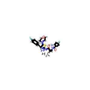 CC(CNC(=O)c1ccc(F)cc1)C(=O)Nc1nc(-c2ccc(F)cc2)c(N2CCOCC2)s1